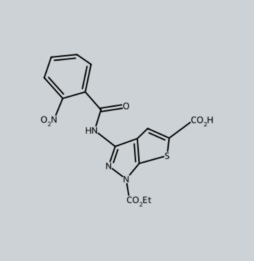 CCOC(=O)n1nc(NC(=O)c2ccccc2[N+](=O)[O-])c2cc(C(=O)O)sc21